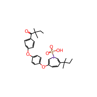 CCC(C)(C)C(=O)c1ccc(Oc2ccc(OC3=CI(S(=O)(=O)O)C=C(C(C)(C)CC)C=C3)cc2)cc1